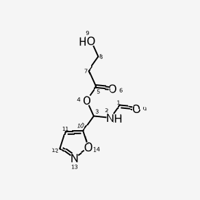 O=CNC(OC(=O)CCO)c1ccno1